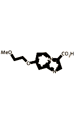 COCCOc1ccn2c(C(=O)O)cnc2c1